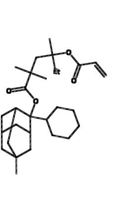 C=CC(=O)OC(C)(CC)CC(C)(C)C(=O)OC1(C2CCCCC2)C2CC3CC1CC(C)(C3)C2